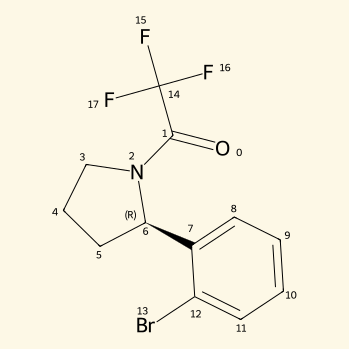 O=C(N1CCC[C@@H]1c1ccccc1Br)C(F)(F)F